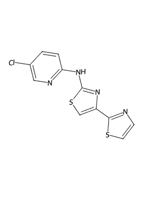 Clc1ccc(Nc2nc(-c3nccs3)cs2)nc1